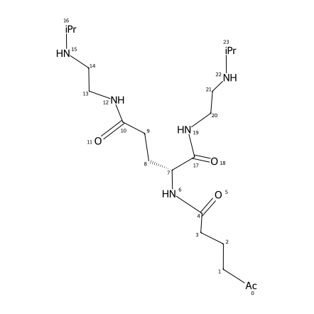 CC(=O)CCCC(=O)N[C@H](CCC(=O)NCCNC(C)C)C(=O)NCCNC(C)C